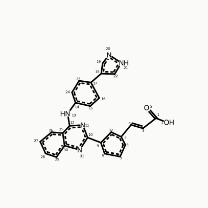 O=C(O)/C=C/c1cccc(-c2nc(Nc3ccc(-c4cn[nH]c4)cc3)c3ccccc3n2)c1